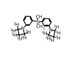 [2H]C1([2H])N(c2cccc([Si](C)(C)c3cccc(N4C([2H])([2H])C([2H])([2H])C4([2H])[2H])c3)c2)C([2H])([2H])C1([2H])[2H]